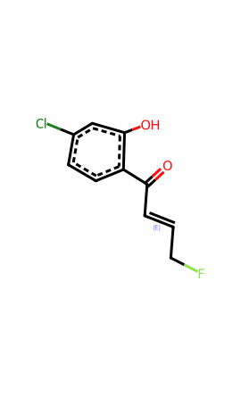 O=C(/C=C/CF)c1ccc(Cl)cc1O